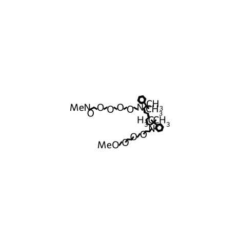 CNC(=O)CCOCCOCCOCCOCCN1/C(=C/C=C\C=C/C2=[N+](CCOCCOCCOCCOC)c3ccccc3C2(C)C)C(C)(C)c2ccccc21